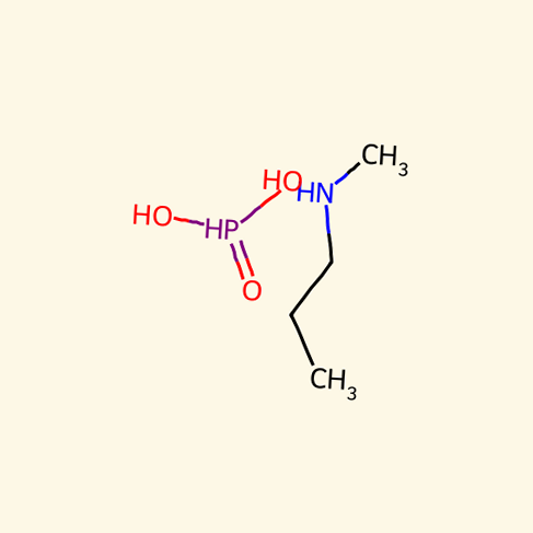 CCCNC.O=[PH](O)O